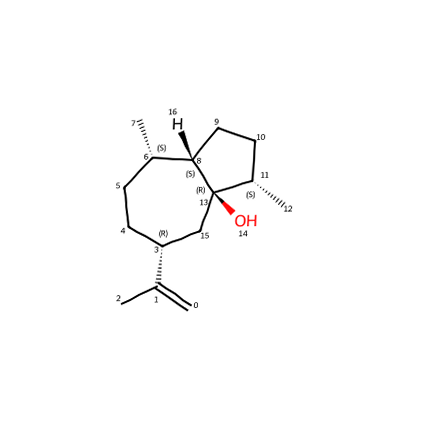 C=C(C)[C@@H]1CC[C@H](C)[C@@H]2CC[C@H](C)[C@]2(O)C1